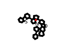 c1ccc(-c2ccc(N(c3ccc(-c4cccc5c4sc4ccccc45)cc3)c3c(-c4ccccc4)ccc4oc5cc6ccccc6cc5c34)cc2)cc1